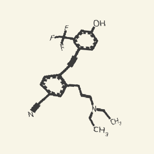 CCN(CC)CCCc1cc(C#N)ccc1C#Cc1ccc(O)cc1C(F)(F)F